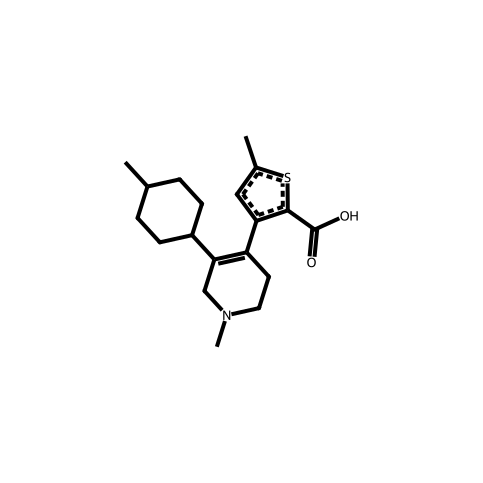 Cc1cc(C2=C(C3CCC(C)CC3)CN(C)CC2)c(C(=O)O)s1